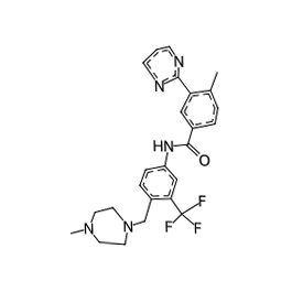 Cc1ccc(C(=O)Nc2ccc(CN3CCN(C)CC3)c(C(F)(F)F)c2)cc1-c1ncccn1